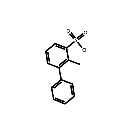 Cc1c(-c2ccccc2)cccc1S(=O)(=O)Cl